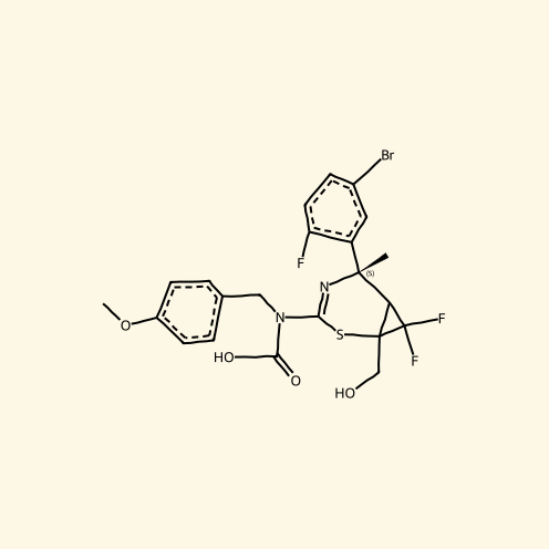 COc1ccc(CN(C(=O)O)C2=N[C@](C)(c3cc(Br)ccc3F)C3C(F)(F)C3(CO)S2)cc1